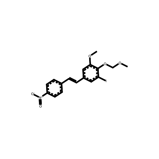 COCOc1c(I)cc(/C=C/c2ccc([N+](=O)[O-])cc2)cc1OC